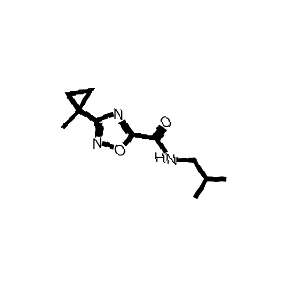 CC(C)CNC(=O)c1nc(C2(C)CC2)no1